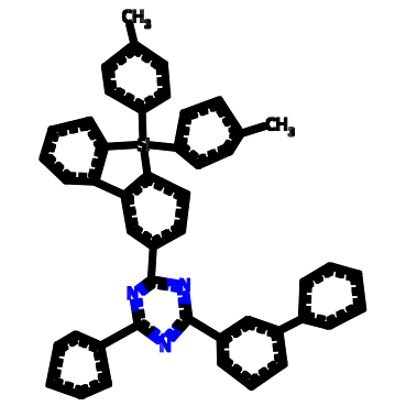 Cc1ccc([Si]2(c3ccc(C)cc3)c3ccccc3-c3cc(-c4nc(-c5ccccc5)nc(-c5cccc(-c6ccccc6)c5)n4)ccc32)cc1